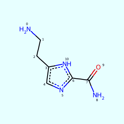 NCCc1cnc(C(N)=O)[nH]1